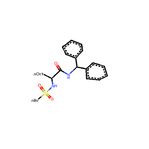 CCCCCCCCC(NS(=O)(=O)CCCC)C(=O)NC(c1ccccc1)c1ccccc1